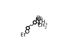 C=C(C)c1cc(CCc2ccc3c(c2)CCC(CC)=C3)ccc1NC(C)C